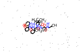 C#CCNC(=O)C(=O)[C@H](CCC)NC(=O)[C@@H]1[C@@H]2[C@H](CN1C(=O)[C@@H](NC(=O)NC1(C3CCCCS3(=O)=O)CCCCC1)C1(C)CCCCC1)C2(C)C